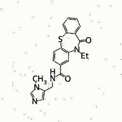 CCN1C(=O)c2ccccc2Sc2ccc(C(=O)NCc3cncn3C)cc21